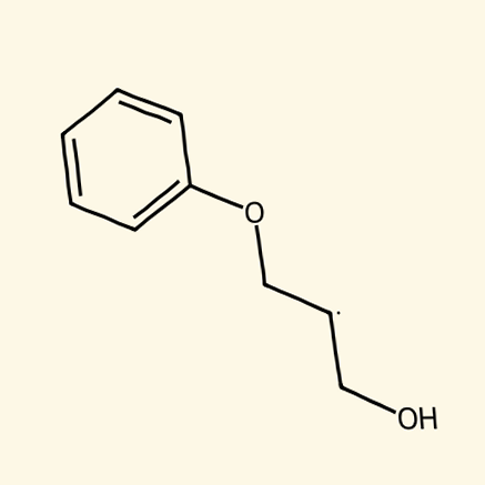 OC[CH]COc1ccccc1